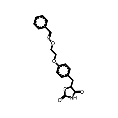 O=C1NC(=O)C(Cc2ccc(OCCON=Cc3ccccc3)cc2)S1